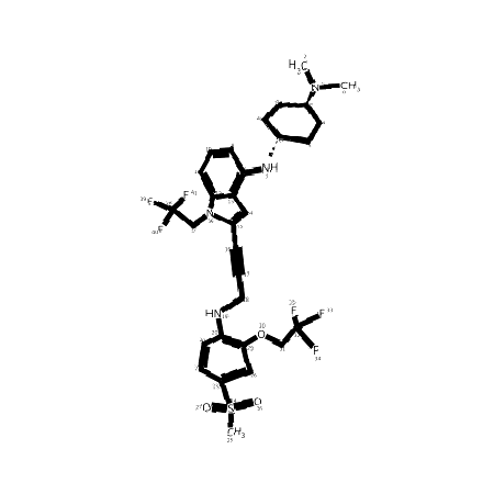 CN(C)[C@H]1CC[C@H](Nc2cccc3c2cc(C#CCNc2ccc(S(C)(=O)=O)cc2OCC(F)(F)F)n3CC(F)(F)F)CC1